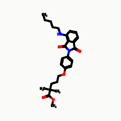 CCCCCNc1cccc2c1C(=O)N(c1ccc(OCCCC(C)(C)C(=O)OC)cc1)C2=O